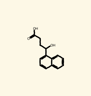 O=C(O)CCC(O)c1cccc2ccccc12